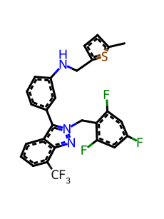 Cc1ccc(CNc2cccc(-c3c4cccc(C(F)(F)F)c4nn3Cc3c(F)cc(F)cc3F)c2)s1